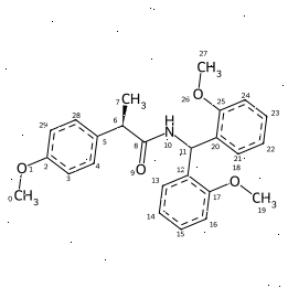 COc1ccc([C@@H](C)C(=O)NC(c2ccccc2OC)c2ccccc2OC)cc1